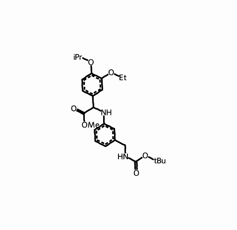 CCOc1cc(C(Nc2cccc(CNC(=O)OC(C)(C)C)c2)C(=O)OC)ccc1OC(C)C